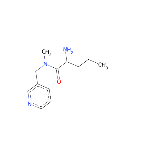 CCCC(N)C(=O)N(C)Cc1cccnc1